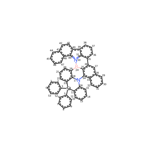 c1ccc([Si]2(c3ccccc3)c3ccccc3N3c4c(cccc42)B2c4c(cc5ccccc5c43)-c3cccc4c5ccc6ccccc6c5n2c34)cc1